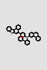 c1ccc(-c2ccccc2N(c2ccc(-c3cc4sc5ccccc5c4c4ccccc34)cc2)c2ccc3ccc4ccccc4c3c2)cc1